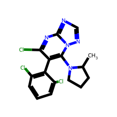 CC1CCCN1c1c(-c2c(Cl)cccc2Cl)c(Cl)nc2ncnn12